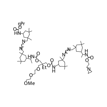 CCCOC(=O)NC1CC(C)(C)CC(C)(CN=C=NCC2(C)CC(C(C)NC(=O)OCC(CC)(COCCOCCOC)COC(=O)NC3CC(C)(C)CC(C)(CN=C=NCC4(C)CC(C(C)NC(=O)OCCN5CC5)CC(C)(C)C4)C3)CC(C)(C)C2)C1